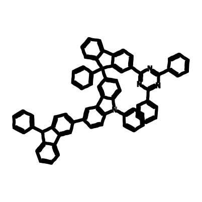 c1ccc(-c2nc(-c3ccccc3)nc(-c3ccc4c(c3)C(c3ccccc3)(c3ccc5c(c3)c3cc(-c6ccc7c(c6)-c6ccccc6C7c6ccccc6)ccc3n5-c3ccccc3)c3ccccc3-4)n2)cc1